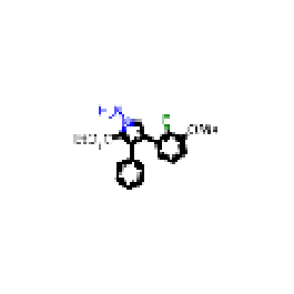 CCOC(=O)c1c(-c2ccccc2)c(-c2cccc(OC)c2F)cn1N